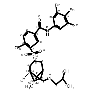 CC(O)CNC[C@@]1(O)C2C[C@@H](S(=O)(=O)c3cc(C(=O)Nc4cc(F)c(F)c(F)c4)ccc3Cl)C[C@@H]1[C@@H](C)C2